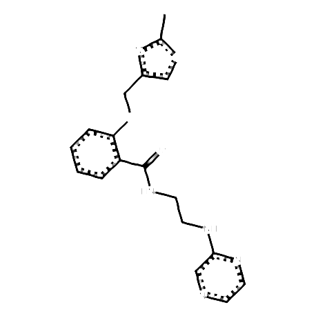 Cc1nc(CSc2ccccc2C(=O)NCCNc2cnccn2)cs1